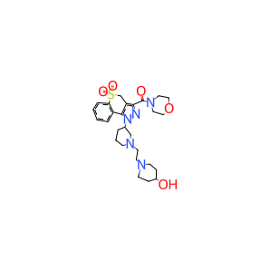 O=C(c1nn(C2CCCN(CCN3CCC(O)CC3)C2)c2c1CS(=O)(=O)c1ccccc1-2)N1CCOCC1